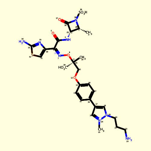 C[C@@H]1[C@H](NC(=O)/C(=N\O[C@@](C)(COc2ccc(-c3cn(CCCN)[n+](C)c3)cc2)C(=O)O)c2csc(N)n2)C(=O)N1S(=O)(=O)O